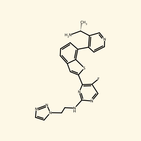 C[C@@H](N)c1cnccc1-c1cccc2cc(-c3nc(NCCn4ccnn4)ncc3F)sc12